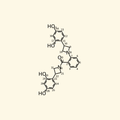 O=C(c1ccccc1N1CC(c2ccc(O)cc2O)C1)N1CC(c2ccc(O)cc2O)C1